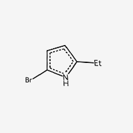 CCc1ccc(Br)[nH]1